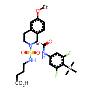 CCOc1ccc2c(c1)CCN(S(=O)(=O)NCCCC(=O)O)[C@H]2C(=O)Nc1cc(F)c([Si](C)(C)C)c(F)c1